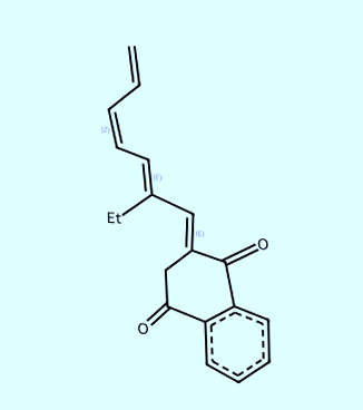 C=C\C=C/C=C(/C=C1\CC(=O)c2ccccc2C1=O)CC